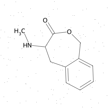 CNC1Cc2ccccc2COC1=O